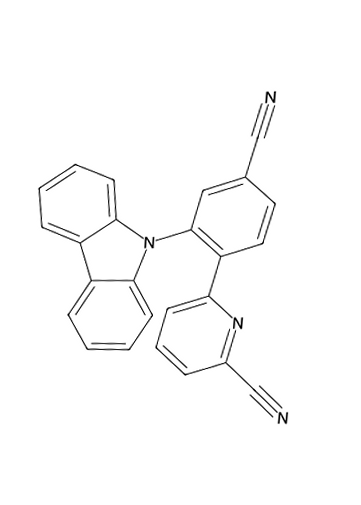 N#Cc1ccc(-c2cccc(C#N)n2)c(-n2c3ccccc3c3ccccc32)c1